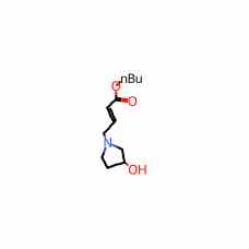 CCCCOC(=O)/C=C/CN1CC[C@H](O)C1